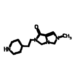 CN1C=C2C(=O)N(CCC3CCNCC3)CN2C1